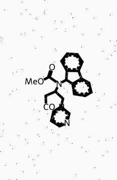 COC(=O)N(C(CC(=O)O)Cc1cccnc1)C1c2ccccc2-c2ccccc21